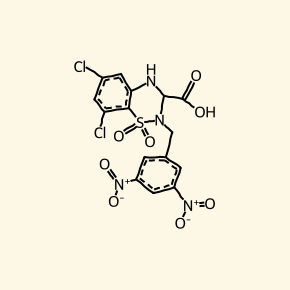 O=C(O)C1Nc2cc(Cl)cc(Cl)c2S(=O)(=O)N1Cc1cc([N+](=O)[O-])cc([N+](=O)[O-])c1